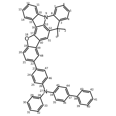 CC1(C)c2ccccc2-n2c3ccccc3c3c4oc5ccc(-c6ccc(N(c7ccccc7)c7ccc(-c8ccccc8)cc7)cc6)cc5c4cc1c32